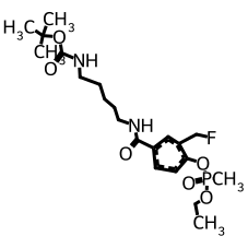 CCOP(C)(=O)Oc1ccc(C(=O)NCCCCCNC(=O)OC(C)(C)C)cc1CF